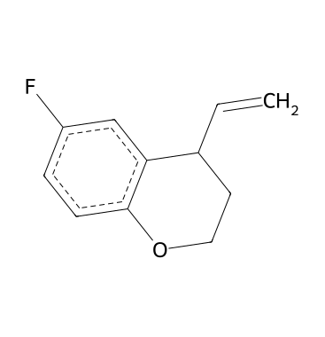 C=CC1CCOc2ccc(F)cc21